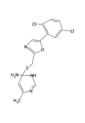 CC1=CC(N)(SCc2ncc(-c3cc(Cl)ccc3Cl)o2)NC=N1